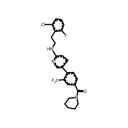 O=C(c1ccc(-c2ccc(NCCc3c(F)cccc3Cl)nc2)c(C(F)(F)F)c1)N1CCCCC1